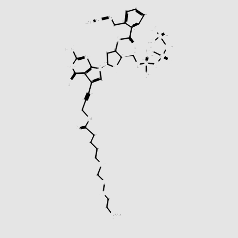 CNCCSSCOCCCCC(=O)NCC#Cc1cn([C@H]2CC(OC(=O)c3ccccc3CN=[N+]=[N-])[C@@H](COP(=O)(O)OP(=O)(O)OP(=O)(O)O)O2)c2nc(N)[nH]c(=O)c12